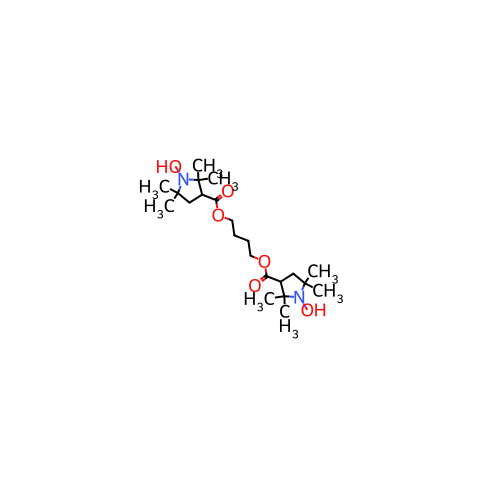 CC1(C)CC(C(=O)OCCCCOC(=O)C2CC(C)(C)N(O)C2(C)C)C(C)(C)N1O